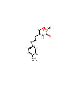 CC(C)(C)OC(=O)NC(CO)CC=Cc1ccc([N+](=O)[O-])cc1